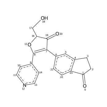 O=C1CCc2cc(C3=C(c4ccncc4)OC(CO)C3=O)ccc21